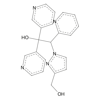 OCc1ccn(C(c2ccccn2)C(O)(c2cccnc2)c2cccnc2)n1